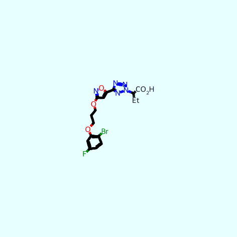 CCC(C(=O)O)n1nnc(-c2cc(OCCCOc3cc(F)ccc3Br)no2)n1